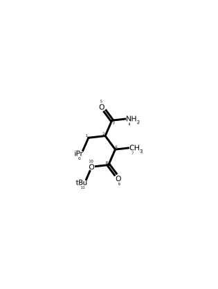 CC(C)CC(C(N)=O)C(C)C(=O)OC(C)(C)C